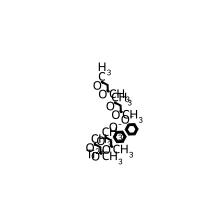 CC(=O)CC(C)=O.CC(=O)CC(C)=O.CC(=O)CC(C)=O.CC(=O)CC(C)=O.[O-]c1ccccc1.[O-]c1ccccc1.[Ti+2]